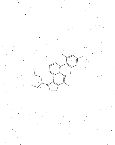 CCCC(CC)n1ccc2c(C)nc3c(-c4c(C)cc(C)cc4C)cccc3c21